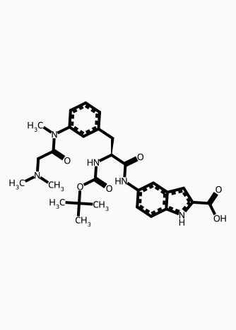 CN(C)CC(=O)N(C)c1cccc(C[C@H](NC(=O)OC(C)(C)C)C(=O)Nc2ccc3[nH]c(C(=O)O)cc3c2)c1